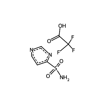 NS(=O)(=O)c1ccncn1.O=C(O)C(F)(F)F